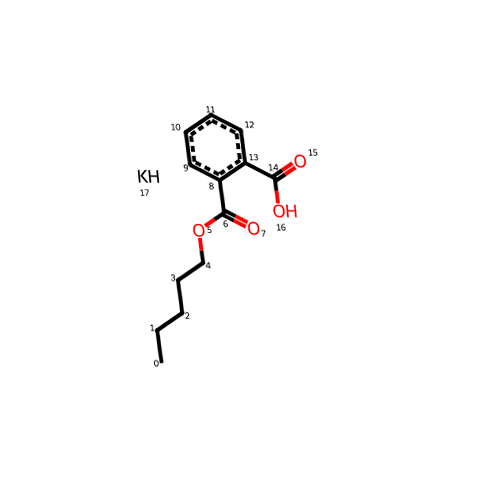 CCCCCOC(=O)c1ccccc1C(=O)O.[KH]